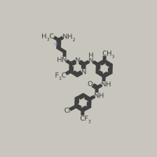 C/C(N)=C/CNc1nc(Nc2cc(NC(=O)Nc3ccc(Cl)c(C(F)(F)F)c3)ccc2C)ncc1C(F)(F)F